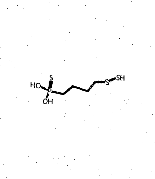 OP(O)(=S)CCCCSS